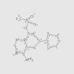 Nc1ncnc2c(OS(=O)(=O)C(F)(F)F)cc(-c3ccccc3)cc12